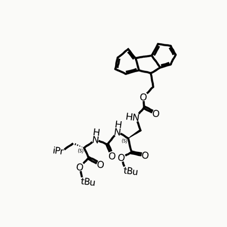 CC(C)C[C@H](NC(=O)N[C@@H](CNC(=O)OCC1c2ccccc2-c2ccccc21)C(=O)OC(C)(C)C)C(=O)OC(C)(C)C